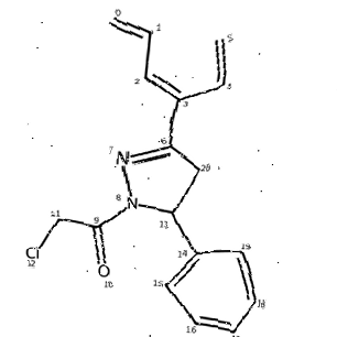 C=C/C=C(\C=C)C1=NN(C(=O)CCl)C(c2ccccc2)C1